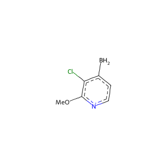 Bc1ccnc(OC)c1Cl